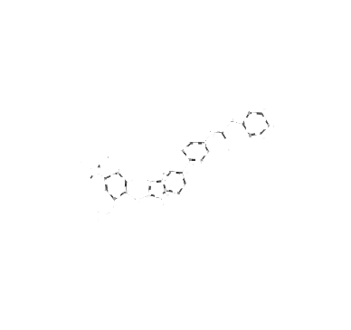 COc1cc(S(C)(=O)=O)ccc1Nc1nc2ccc(-c3ccc(NC(=O)Cc4ccccc4)cc3)cn2n1